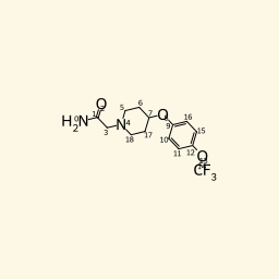 NC(=O)CN1CCC(Oc2ccc(OC(F)(F)F)cc2)CC1